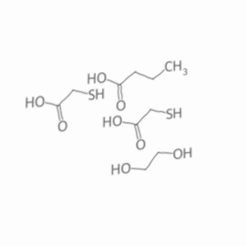 CCCC(=O)O.O=C(O)CS.O=C(O)CS.OCCO